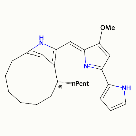 CCCCC[C@@H]1CCCCCCc2cc1c(C=C1N=C(c3ccc[nH]3)C=C1OC)[nH]2